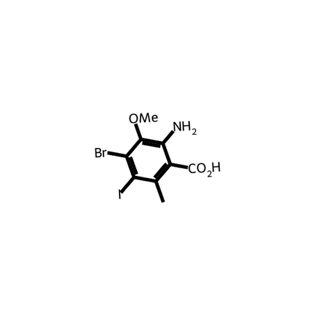 COc1c(N)c(C(=O)O)c(C)c(I)c1Br